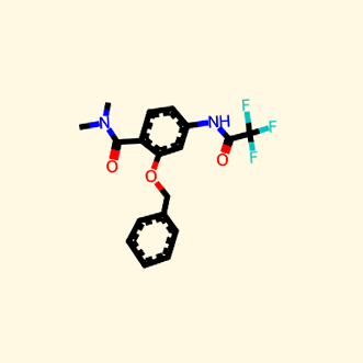 CN(C)C(=O)c1ccc(NC(=O)C(F)(F)F)cc1OCc1ccccc1